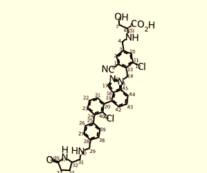 N#Cc1cc(CN[C@@H](CO)C(=O)O)cc(Cl)c1Cn1ncc2c(-c3cccc(-c4ccc(CNCC5CCC(=O)N5)cc4)c3Cl)cccc21